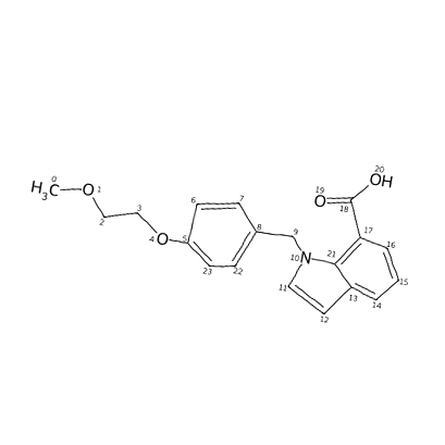 COCCOc1ccc(Cn2ccc3cccc(C(=O)O)c32)cc1